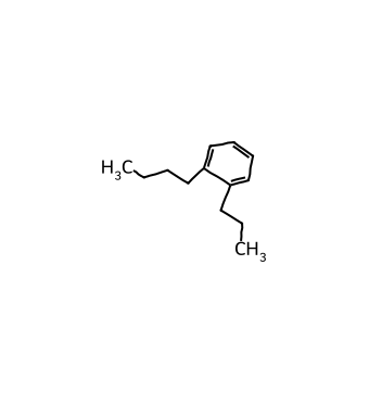 CCCCc1ccccc1CCC